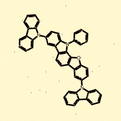 c1ccc(-n2c3ccc(-n4c5ccccc5c5ccccc54)cc3c3ccc4c5cc(-n6c7ccccc7c7ccccc76)ccc5oc4c32)cc1